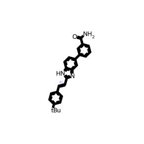 CC(C)(C)c1ccc(/C=C/c2nc3cc(-c4cccc(C(N)=O)c4)ccc3[nH]2)cc1